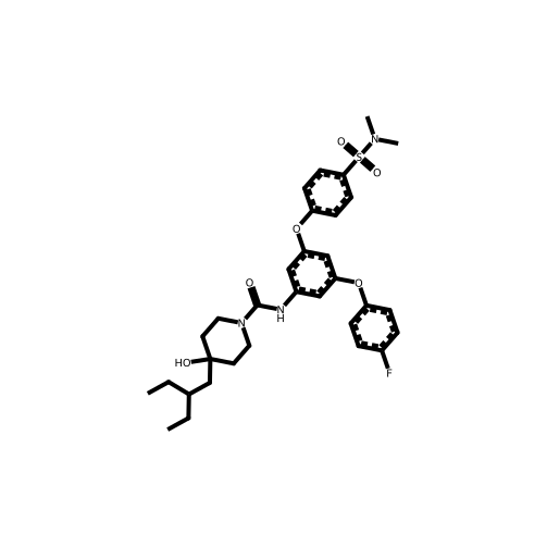 CCC(CC)CC1(O)CCN(C(=O)Nc2cc(Oc3ccc(F)cc3)cc(Oc3ccc(S(=O)(=O)N(C)C)cc3)c2)CC1